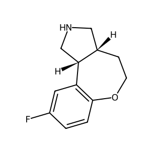 Fc1ccc2c(c1)[C@@H]1CNC[C@@H]1CCO2